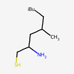 CCC(C)CC(C)CC(N)CS